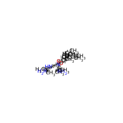 CC[C@H](CC[C@@H](C)[C@H]1CC[C@H]2[C@@H]3CC=C4C[C@@H](OC(=O)N(CCCCNCCC(N)(CC)CC)CCC(N)(CC)CC)CC[C@]4(C)C3CC[C@]12C)C(C)C